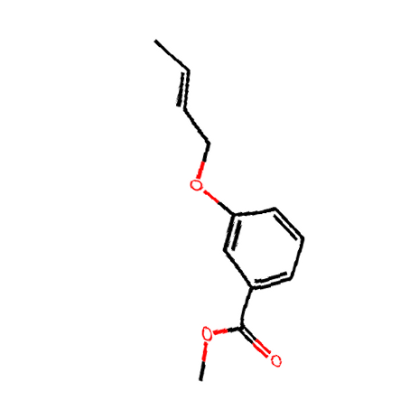 CC=CCOc1cccc(C(=O)OC)c1